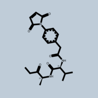 CCC(=O)[C@H](C)NC(=O)[C@@H](NC(=O)Cc1ccc(N2C(=O)C=CC2=O)cc1)C(C)C